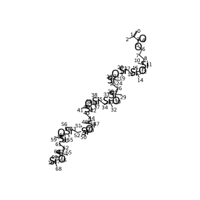 C=C(C)C(=O)OCCC[Si](C)(C)O[Si](C)(C)CC[Si](C)(C)O[Si](C)(C)CC[Si](C)(C)O[Si](C)(C)CC[Si](C)(C)O[Si](C)(C)CC[Si](C)(C)O[Si](C)(C)CC[Si](C)(C)O[Si](C)(C)CC[Si](C)(C)O[Si](C)(C)C